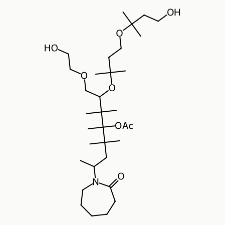 CC(=O)OC(C)(C(C)(C)CC(C)N1CCCCCC1=O)C(C)(C)C(COCCO)OC(C)(C)CCOC(C)(C)CCO